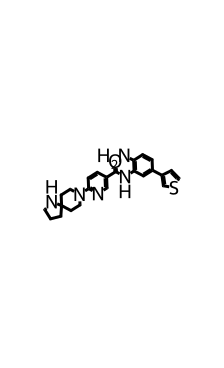 Nc1ccc(-c2ccsc2)cc1NC(=O)c1ccc(N2CCC3(CCCN3)CC2)nc1